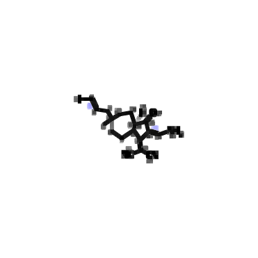 CC1(C/C=C/I)CCC2C(=C(C#N)C#N)/C(=C/N)C(=O)[C@@H]2CC1